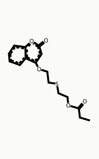 CCC(=O)OCCSCCOc1cc(=O)oc2ccccc12